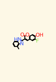 Cc1cccc2[nH]c(-c3cc4cc(F)c(O)cc4oc3=O)nc12